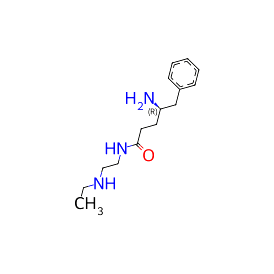 CCNCCNC(=O)CC[C@@H](N)Cc1ccccc1